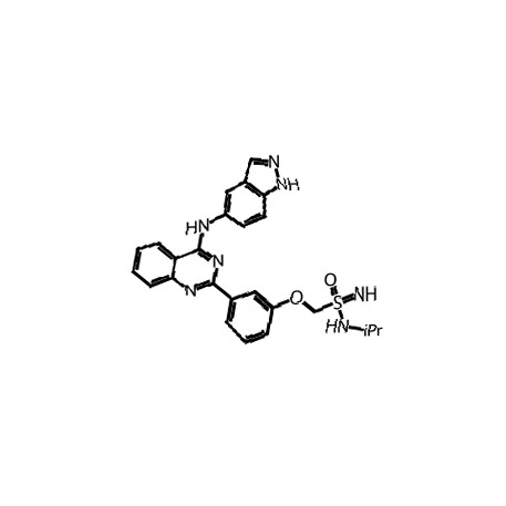 CC(C)NS(=N)(=O)COc1cccc(-c2nc(Nc3ccc4[nH]ncc4c3)c3ccccc3n2)c1